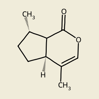 CC1=COC(=O)C2[C@@H]1CC[C@@H]2C